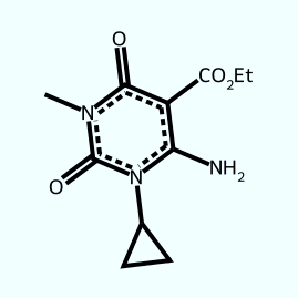 CCOC(=O)c1c(N)n(C2CC2)c(=O)n(C)c1=O